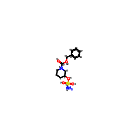 NS(=O)(=O)OC1CCCN(C(=O)OCc2ccccc2)C1